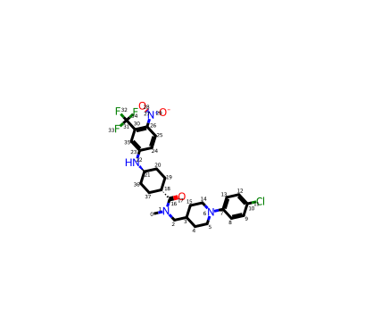 CN(CC1CCN(c2ccc(Cl)cc2)CC1)C(=O)[C@H]1CC[C@H](Nc2ccc([N+](=O)[O-])c(C(F)(F)F)c2)CC1